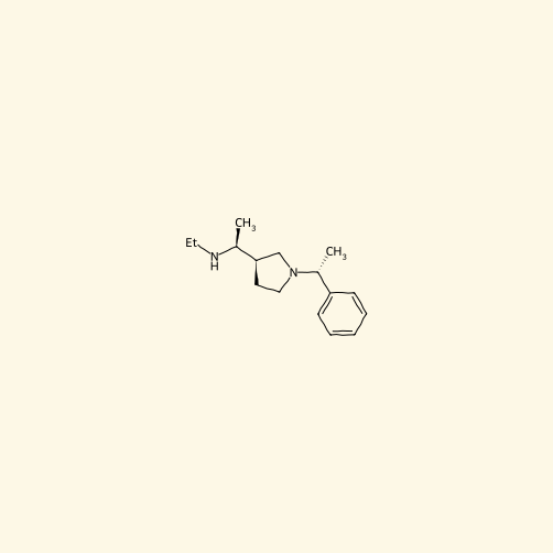 CCN[C@@H](C)[C@@H]1CCN([C@H](C)c2ccccc2)C1